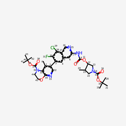 Cc1c(-c2cc3cc(NC(=O)OC4CN(C(=O)OC(C)(C)C)CC4C)ncc3c(Cl)c2F)cnc2c1N(C(=O)OC(C)(C)C)CCO2